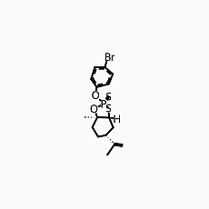 C=C(C)[C@@H]1CC[C@@]2(C)OP(=S)(Oc3ccc(Br)cc3)S[C@@H]2C1